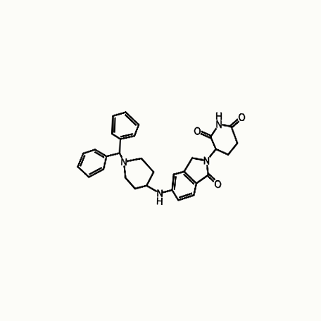 O=C1CCC(N2Cc3cc(NC4CCN(C(c5ccccc5)c5ccccc5)CC4)ccc3C2=O)C(=O)N1